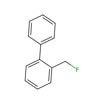 FCc1ccccc1-c1ccccc1